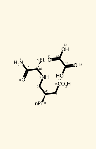 CCC[C@@H](CN[C@@H](CC)C(N)=O)CC(=O)O.O=C(O)C(=O)O